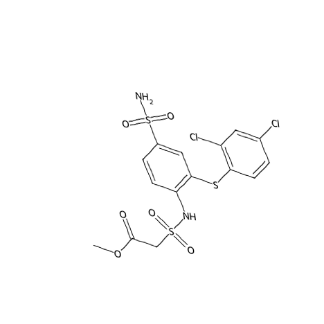 COC(=O)CS(=O)(=O)Nc1ccc(S(N)(=O)=O)cc1Sc1ccc(Cl)cc1Cl